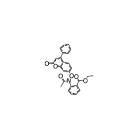 CCOC(=O)c1ccccc1N(Oc1ccc2c(-c3ccccc3)cc(=O)oc2c1)C(C)=O